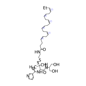 CC/C=C\C/C=C\C/C=C\C/C=C\C/C=C\C/C=C\CCC(=O)NCCSSC(C)(C)C(NC(=O)c1cccnc1)C(=O)NC(CO)CO